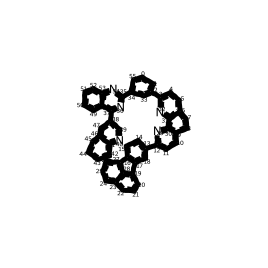 c1cc(-c2ccc3ccc4ccc(-c5ccc6c(c5)-c5cccc7cccc-6c57)nc4c3n2)cc(-c2nc(-c3cnc4ccccc4c3)c3ccccc3n2)c1